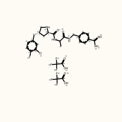 CC(NC(=O)[C@H]1C[C@H](Cc2ccc(F)c(Cl)c2)CN1)C(=O)NCc1ccc(C(=N)N)cc1.O=C(O)C(F)(F)F.O=C(O)C(F)(F)F